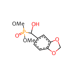 COP(=O)(OC)C(O)c1ccc2c(c1)OCO2